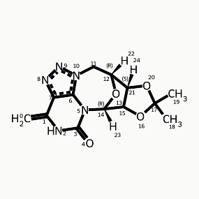 C=C1NC(=O)N2c3c1nnn3C[C@H]1O[C@@H]2C2OC(C)(C)O[C@H]21